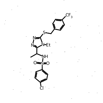 CCn1c(SCc2ccc(C(F)(F)F)cc2)nnc1C(C)NS(=O)(=O)c1ccc(Cl)cc1